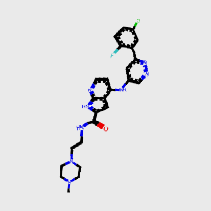 CN1CCN(CCNC(=O)c2cc3c(Nc4cnnc(-c5cc(Cl)ccc5F)c4)ccnc3[nH]2)CC1